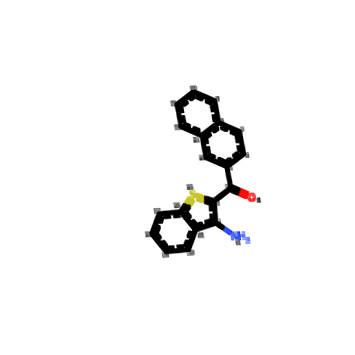 Nc1c(C(=O)c2ccc3ccccc3c2)sc2ccccc12